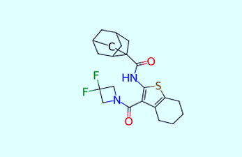 O=C(c1c(NC(=O)C23CC4CC(CC2C4)C3)sc2c1CCCC2)N1CC(F)(F)C1